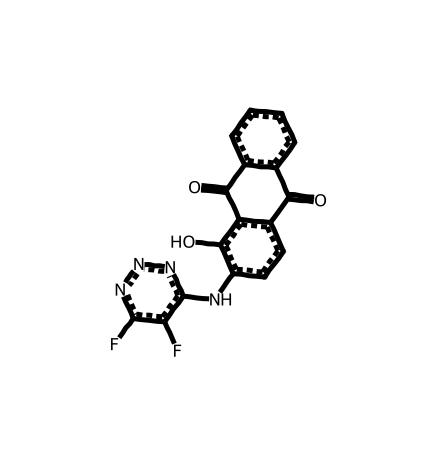 O=C1c2ccccc2C(=O)c2c1ccc(Nc1nnnc(F)c1F)c2O